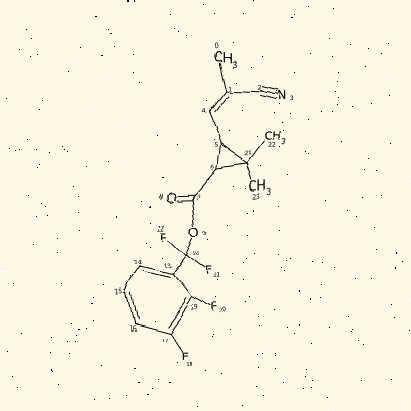 CC(C#N)=CC1C(C(=O)OC(F)(F)c2cccc(F)c2F)C1(C)C